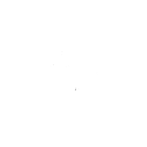 CC(C)C(C)C1CC1